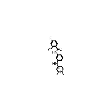 C[C@H]1C[C@@H](Nc2cccc(NC(=O)c3ccc(F)cc3Cl)c2)CCN1C